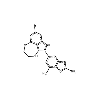 Cc1cc(-c2[nH]c3cc(Br)cc4c3c2NCCO4)cc2nc(N)oc12